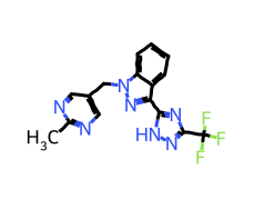 Cc1ncc(Cn2nc(-c3nc(C(F)(F)F)n[nH]3)c3ccccc32)cn1